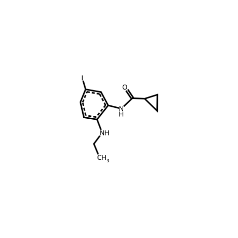 CCNc1ccc(I)cc1NC(=O)C1CC1